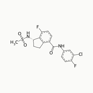 CS(=O)(=O)N[C@H]1CCc2c(C(=O)Nc3ccc(F)c(Cl)c3)ccc(F)c21